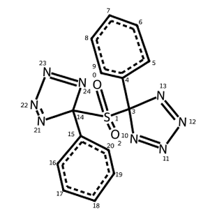 O=S(=O)(C1(c2ccccc2)N=NN=N1)C1(c2ccccc2)N=NN=N1